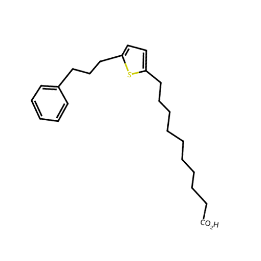 O=C(O)CCCCCCCCCc1ccc(CCCc2ccccc2)s1